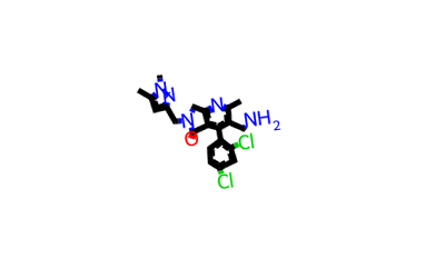 Cc1nc2c(c(-c3ccc(Cl)cc3Cl)c1CN)C(=O)N(Cc1cc(C)n(C)n1)C2